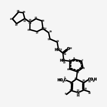 CC1=C(C(=O)O)C(c2cccc(NC(=O)NCCCN3CCN(C4CCCC4)CC3)c2)C(C(=O)O)=C(C)N1